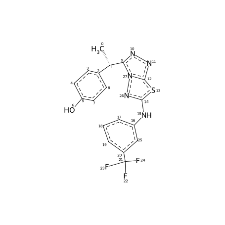 C[C@@H](c1ccc(O)cc1)c1nnc2sc(Nc3cccc(C(F)(F)F)c3)nn12